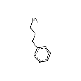 O=[N+]([O-])COCc1ccccc1